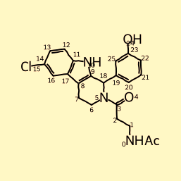 CC(=O)NCCC(=O)N1CCc2c([nH]c3ccc(Cl)cc23)C1c1cccc(O)c1